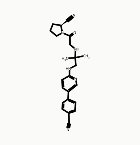 CC(C)(CNc1ccc(-c2ccc(C#N)cc2)cn1)NCC(=O)N1CCC[C@H]1C#N